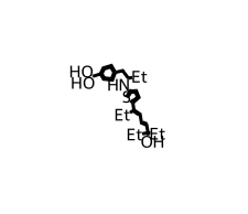 CCC(=CC=CC(O)(CC)CC)c1ccc(NC(CC)Cc2ccc(C(O)O)cc2)s1